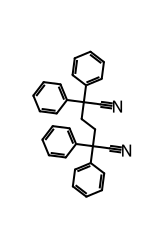 N#CC(CCC(C#N)(c1ccccc1)c1ccccc1)(c1ccccc1)c1ccccc1